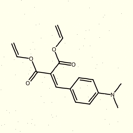 C=COC(=O)C(=Cc1ccc(N(C)C)cc1)C(=O)OC=C